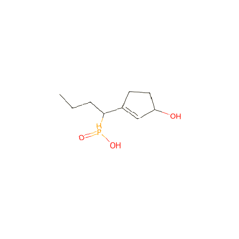 CCCC(C1=CC(O)CC1)[PH](=O)O